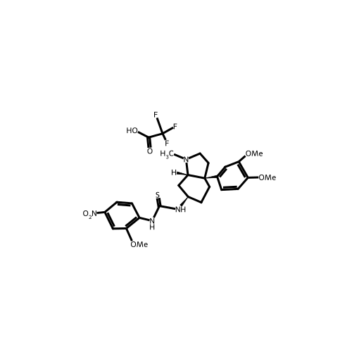 COc1cc([N+](=O)[O-])ccc1NC(=S)N[C@@H]1CC[C@@]2(c3ccc(OC)c(OC)c3)CCN(C)[C@H]2C1.O=C(O)C(F)(F)F